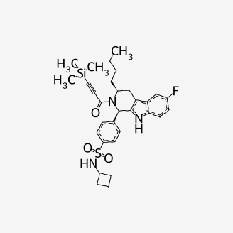 CCCC[C@H]1Cc2c([nH]c3ccc(F)cc23)[C@@H](c2ccc(S(=O)(=O)NC3CCC3)cc2)N1C(=O)C#C[Si](C)(C)C